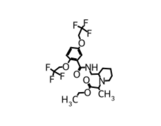 CCOC(=O)C(C)N1CCCCC1CNC(=O)c1cc(OCC(F)(F)F)ccc1OCC(F)(F)F